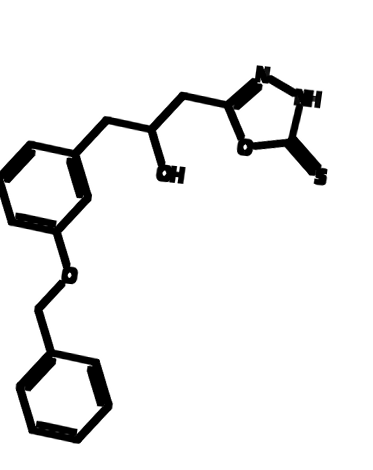 OC(Cc1cccc(OCc2ccccc2)c1)Cc1n[nH]c(=S)o1